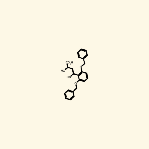 O=C(O)C(O)CC(O)c1c(OCc2ccccc2)cccc1OCc1ccccc1